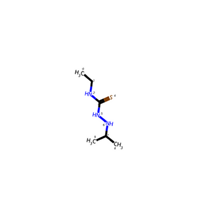 CCNC(=S)NNC(C)C